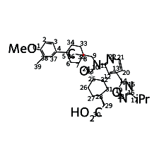 COc1ccc(C23CCC(CN(c4cc(-c5nc(C(C)C)no5)ccn4)C(=O)[C@H]4CC[C@H](CC(=O)O)CC4)(CC2)CC3)cc1C